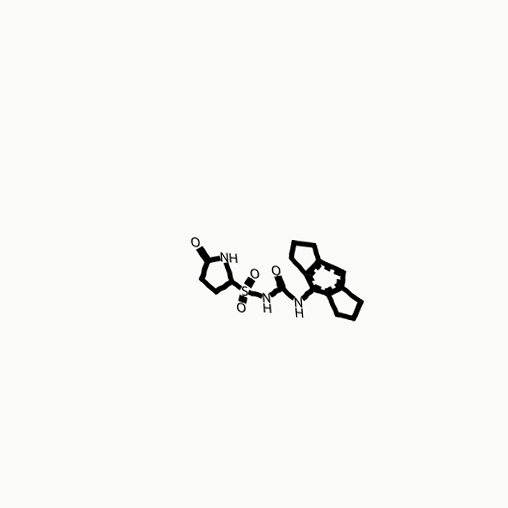 O=C1CCC(S(=O)(=O)NC(=O)Nc2c3c(cc4c2CCC4)CCC3)N1